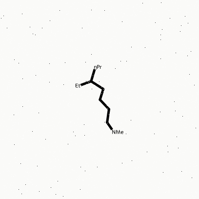 CCCC(CC)CCCCNC